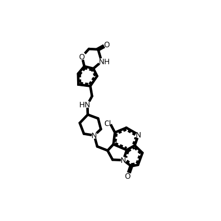 O=C1COc2ccc(CNC3CCN(CC4Cn5c(=O)ccc6ncc(Cl)c4c65)CC3)cc2N1